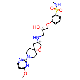 CNS(=O)(=O)c1cccc(OC[C@@H](O)CN[C@H]2COC3(CCN(c4nccc(OC)n4)CC3)C2)c1